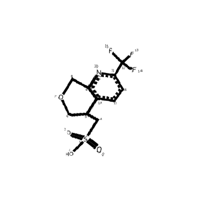 O=S(=O)(O)CC1COCc2nc(C(F)(F)F)ccc21